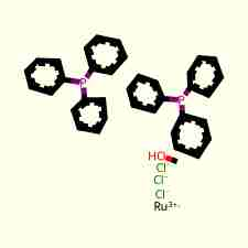 CO.[Cl-].[Cl-].[Cl-].[Ru+3].c1ccc(P(c2ccccc2)c2ccccc2)cc1.c1ccc(P(c2ccccc2)c2ccccc2)cc1